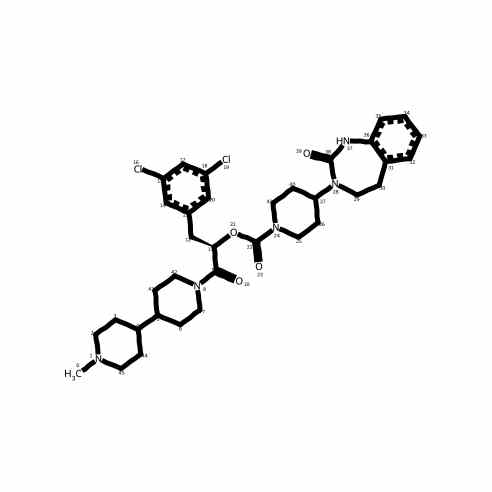 CN1CCC(C2CCN(C(=O)[C@@H](Cc3cc(Cl)cc(Cl)c3)OC(=O)N3CCC(N4CCc5ccccc5NC4=O)CC3)CC2)CC1